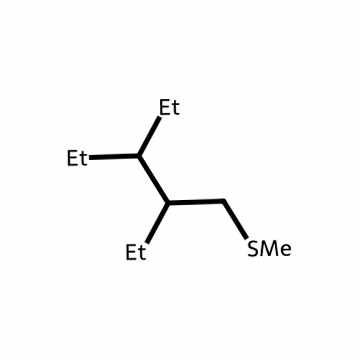 CCC(CC)C(CC)CSC